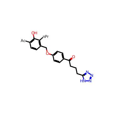 CCCc1c(COc2ccc(C(=O)CCCc3nnn[nH]3)cc2)ccc(C(C)=O)c1O